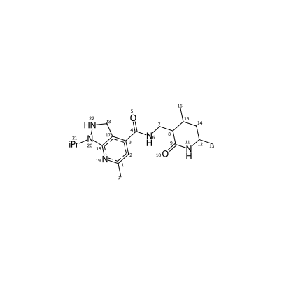 Cc1cc(C(=O)NCC2C(=O)NC(C)CC2C)c2c(n1)N(C(C)C)NC2